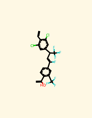 C=Cc1c(Cl)cc(C(/C=C(\F)c2ccc(C(=C)O)c(C(F)(F)F)c2)C(F)(F)F)cc1Cl